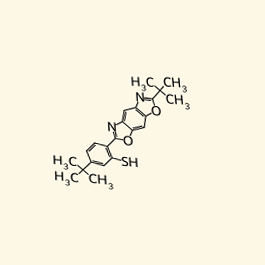 CC(C)(C)c1ccc(-c2nc3cc4nc(C(C)(C)C)oc4cc3o2)c(S)c1